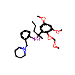 CCCC(C)(Pc1ccccc1CN1CCCCC1)c1cc(OC)cc(OC)c1OCOC